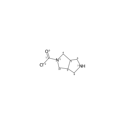 O=C(Cl)N1CC2CNCC2C1